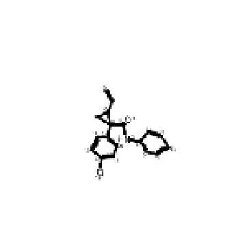 C=CC1CC1(C(=O)Nc1ccccc1)c1ccc(Cl)cc1